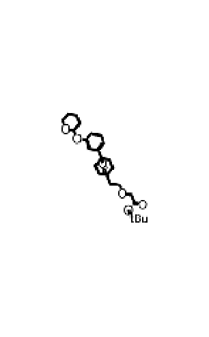 CC(C)(C)OC(=O)COCCC12CCC(c3cccc(OC4CCCCO4)c3)(CC1)OC2